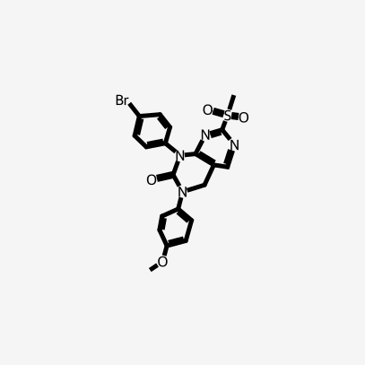 COc1ccc(N2Cc3cnc(S(C)(=O)=O)nc3N(c3ccc(Br)cc3)C2=O)cc1